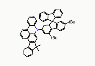 CC(C)(C)c1ccc2c(c1)C1(c3ccccc3-c3ccccc31)c1cc(N(c3ccc4c(c3)C(C)(C)C3=C4CCC=C3)c3ccccc3C3=CC=CCC3)cc(C(C)(C)C)c1-2